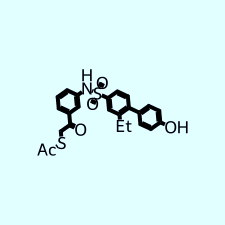 CCc1cc(S(=O)(=O)Nc2cccc(C(=O)CSC(C)=O)c2)ccc1-c1ccc(O)cc1